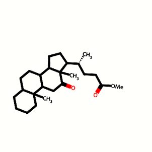 COC(=O)CC[C@@H](C)C1CCC2C3CCC4CCCCC4(C)C3CC(=O)C21C